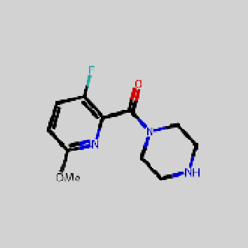 COc1ccc(F)c(C(=O)N2CCNCC2)n1